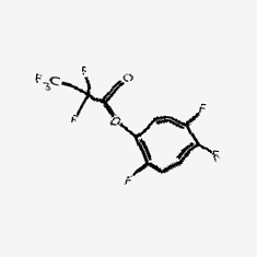 O=C(Oc1cc(F)c(F)cc1F)C(F)(F)C(F)(F)F